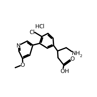 COc1cncc(-c2cc(C(CN)CC(=O)O)ccc2Cl)c1.Cl